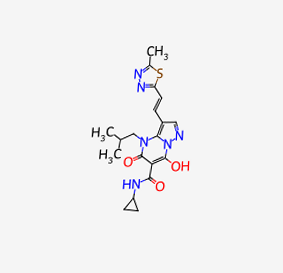 Cc1nnc(/C=C/c2cnn3c(O)c(C(=O)NC4CC4)c(=O)n(CC(C)C)c23)s1